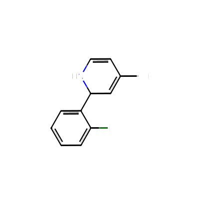 CC1=CC(c2ccccc2F)NC=[C]1